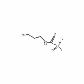 CS(=O)(=O)C(=O)NCCC[O]